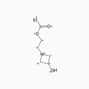 CCC(=O)OCCN1CC(O)C1